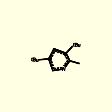 Cc1ncc(C(C)(C)C)cc1C(C)(C)C